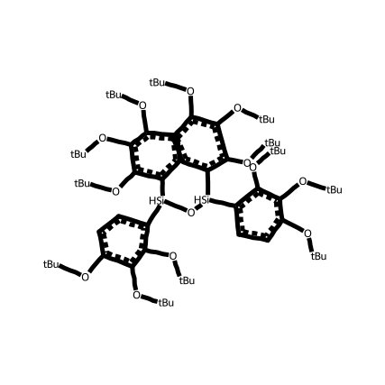 CC(C)(C)Oc1ccc([SiH](O[SiH](c2ccc(OC(C)(C)C)c(OC(C)(C)C)c2OC(C)(C)C)c2ccc(OC(C)(C)C)c(OC(C)(C)C)c2OC(C)(C)C)c2ccc(OC(C)(C)C)c(OC(C)(C)C)c2OC(C)(C)C)c(OC(C)(C)C)c1OC(C)(C)C